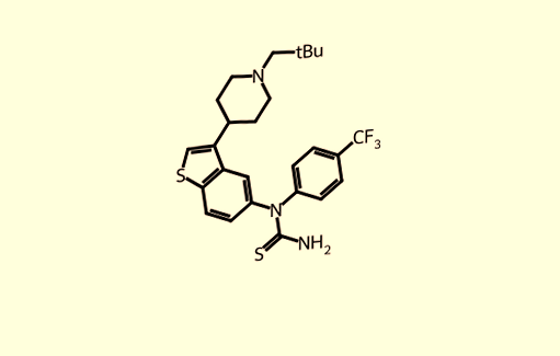 CC(C)(C)CN1CCC(c2csc3ccc(N(C(N)=S)c4ccc(C(F)(F)F)cc4)cc23)CC1